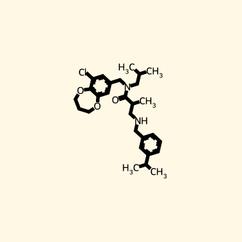 CC(C)CN(Cc1cc(Cl)c2c(c1)OCCCO2)C(=O)C(C)CNCc1cccc(C(C)C)c1